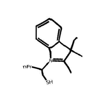 CCCC(S)[N+]1=C(C)C(C)(C)c2ccccc21